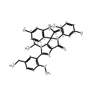 CCc1ccc(OC)c(-c2nc3c(n2C(C)C)C2(C(=O)Nc4cc(Cl)ccc42)N(c2cc(Cl)ccc2C)C3=O)c1